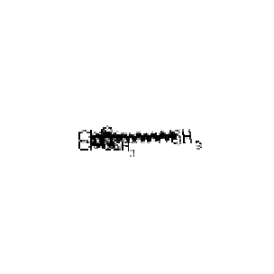 CCCCCCCCCCCCCCCCC(C(C)=O)C(=O)c1ccc(Cl)c(Cl)c1